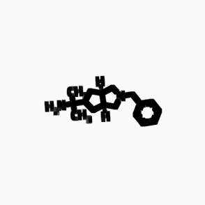 CC(C)(N)C1C[C@@H]2CN(Cc3ccccc3)C[C@@H]2C1